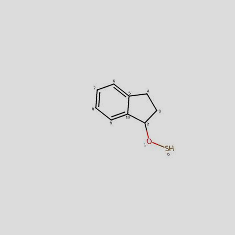 SOC1CCc2ccccc21